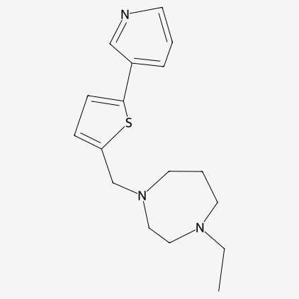 CCN1CCCN(Cc2ccc(-c3cccnc3)s2)CC1